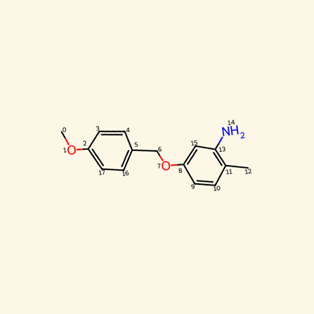 COc1ccc(COc2ccc(C)c(N)c2)cc1